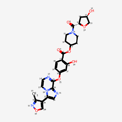 O=C(OC1CCN(C(=O)[C@@H]2C[C@@H](O)CO2)CC1)c1ccc(Oc2nccn3c(-c4conc4C(F)(F)F)cnc23)cc1O